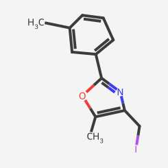 Cc1cccc(-c2nc(CI)c(C)o2)c1